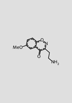 COc1ccc2onc(CCN)c(=O)c2c1